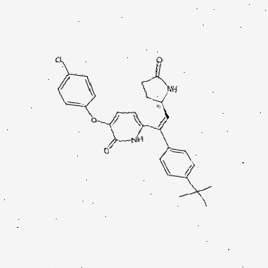 CC(C)(C)c1ccc(C(=C[C@H]2CCC(=O)N2)c2ccc(Oc3ccc(Cl)cc3)c(=O)[nH]2)cc1